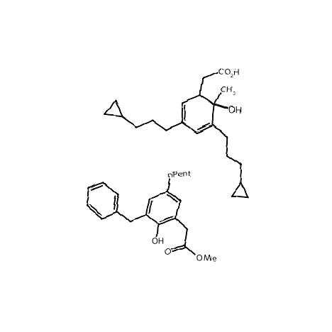 CC1(O)C(CCCC2CC2)=CC(CCCC2CC2)=CC1CC(=O)O.CCCCCc1cc(CC(=O)OC)c(O)c(Cc2ccccc2)c1